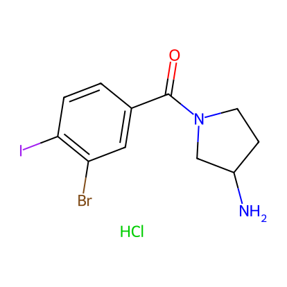 Cl.NC1CCN(C(=O)c2ccc(I)c(Br)c2)C1